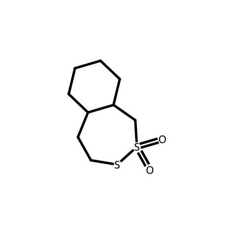 O=S1(=O)CC2CCCCC2CCS1